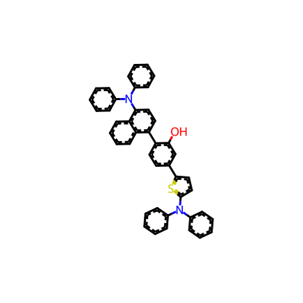 Oc1cc(-c2ccc(N(c3ccccc3)c3ccccc3)s2)ccc1-c1ccc(N(c2ccccc2)c2ccccc2)c2ccccc12